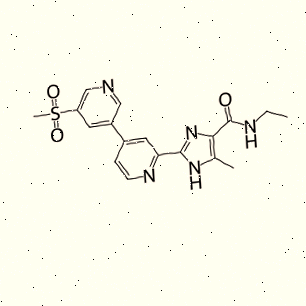 CCNC(=O)c1nc(-c2cc(-c3cncc(S(C)(=O)=O)c3)ccn2)[nH]c1C